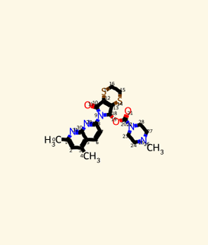 Cc1cc(C)c2ccc(N3C(=O)C4=C(SCCS4)C3OC(=O)N3CCN(C)CC3)nc2n1